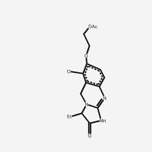 CCC1C(=O)NC2=Nc3ccc(OCCOC(C)=O)c(Cl)c3CN21